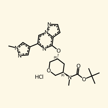 CN(C(=O)OC(C)(C)C)[C@H]1COC[C@H](Oc2nc(-c3cnn(C)c3)cn3nccc23)C1.Cl